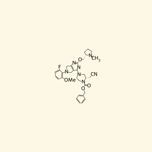 COc1cccc(F)c1N1Cc2nc(OC[C@@H]3CCCN3C)nc(N3CCN(C(=O)OCc4ccccc4)[C@@H](CC#N)C3)c2C1